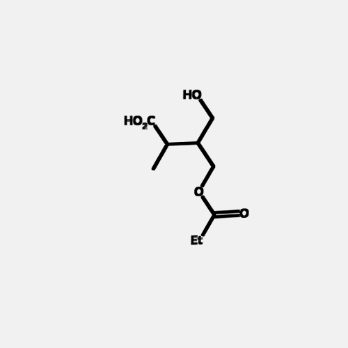 CCC(=O)OCC(CO)C(C)C(=O)O